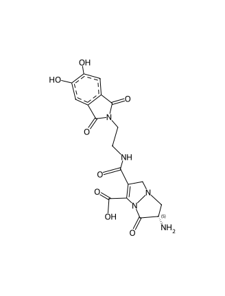 N[C@H]1CN2CC(C(=O)NCCN3C(=O)c4cc(O)c(O)cc4C3=O)=C(C(=O)O)N2C1=O